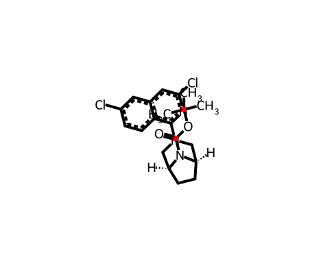 CC(C)(C)OC(=O)N1[C@@H]2CC[C@H]1CN(c1nc(Cl)cc3cc(Cl)ccc13)C2